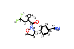 CC(CC(F)F)C(=O)N1OCC[C@H]1c1ccc(C#N)cc1